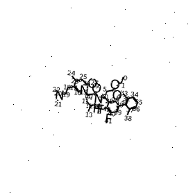 CCOC(=O)C[C@H](NC(=O)[C@H](CC(C)C)n1cc(CCN(C)C)c(C)cc1=O)c1cc(-c2c(C)cccc2C)cc(F)c1F